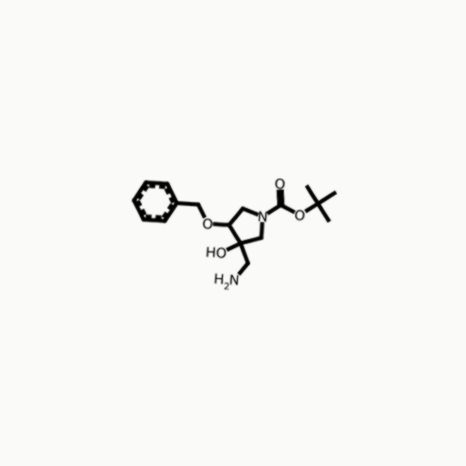 CC(C)(C)OC(=O)N1CC(OCc2ccccc2)C(O)(CN)C1